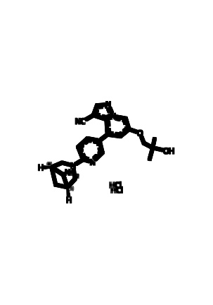 CC(C)(O)COc1cc(-c2ccc(N3C[C@H]4C[C@@H](C3)C4N)nc2)c2c(C#N)cnn2c1.Cl.Cl